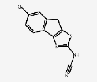 N#CNc1nc2c(s1)Cc1cc(Cl)ccc1-2